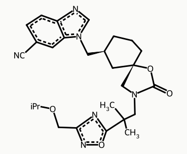 CC(C)OCc1noc(C(C)(C)CN2C[C@@]3(CCC[C@H](Cn4cnc5ccc(C#N)cc54)C3)OC2=O)n1